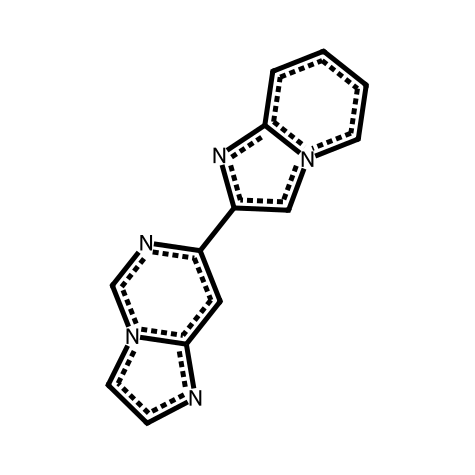 c1ccn2cc(-c3cc4nccn4cn3)nc2c1